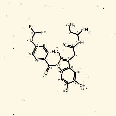 CCC(C)NC(=O)Cc1c(C)n(C(=O)c2ccc(OC(F)F)cc2)c2cc(F)c(O)cc12